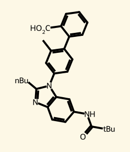 CCCCc1nc2ccc(NC(=O)C(C)(C)C)cc2n1-c1ccc(-c2ccccc2C(=O)O)c(C)c1